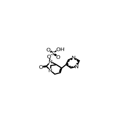 O=C1N2CC=C(c3cncnc3)C(C2)N1OS(=O)(=O)O